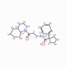 O=C(CCNC(=O)C1(c2ccccc2)CCCC1)N1CCCC2CCCCC21